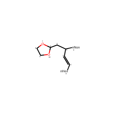 CCCCCCC=CC(CCCCCCCCC)CC1OCCO1